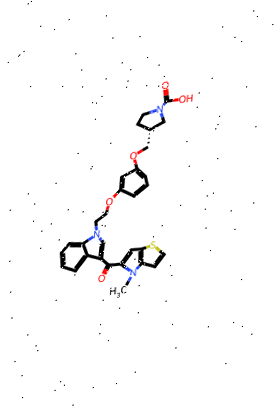 Cn1c(C(=O)c2cn(CCOc3cccc(OC[C@@H]4CCN(C(=O)O)C4)c3)c3ccccc23)cc2sccc21